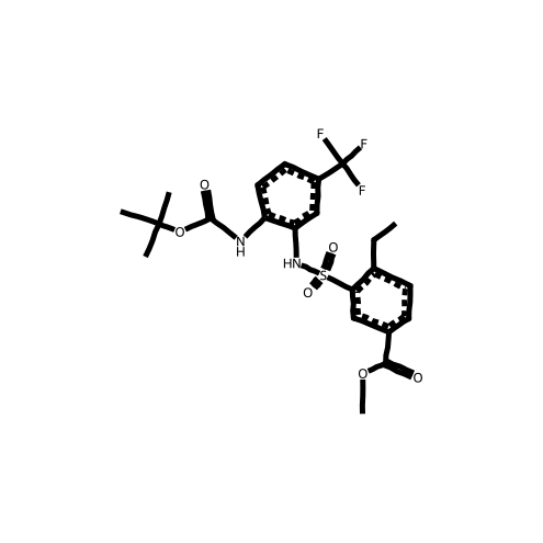 CCc1ccc(C(=O)OC)cc1S(=O)(=O)Nc1cc(C(F)(F)F)ccc1NC(=O)OC(C)(C)C